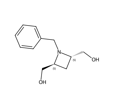 OC[C@@H]1C[C@@H](CO)N1Cc1ccccc1